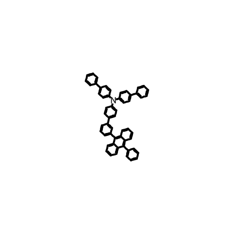 c1ccc(-c2ccc(N(c3ccc(-c4ccccc4)cc3)c3ccc(-c4cccc(-c5c6ccccc6c(-c6ccccc6)c6ccccc56)c4)cc3)cc2)cc1